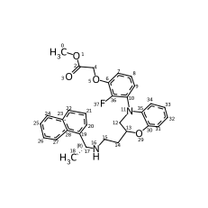 COC(=O)COc1cccc(N2CC(CCN[C@H](C)c3cccc4ccccc34)Oc3ccccc32)c1F